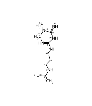 CC(=O)NCCSNC(=N)NC(=N)N(C)C